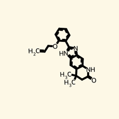 C=CCOc1ccccc1-c1nc2cc3c(cc2[nH]1)C(C)(C)CC(=O)N3